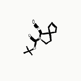 CC(C)(C)OC(=O)N1CCC2(CC=CC2)C1=C=O